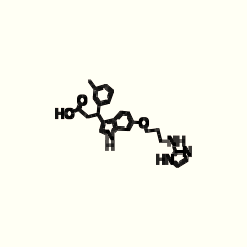 Cc1cccc(C(CC(=O)O)c2c[nH]c3cc(OCCCNc4ncc[nH]4)ccc23)c1